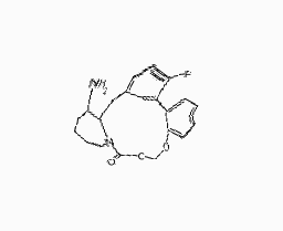 NC1CCCN2C(=O)CCOc3ccccc3-c3cc(ccc3F)CC12